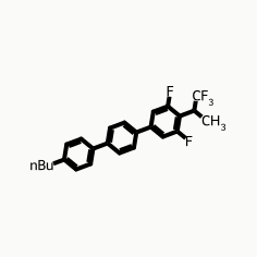 CCCCc1ccc(-c2ccc(-c3cc(F)c(C(C)C(F)(F)F)c(F)c3)cc2)cc1